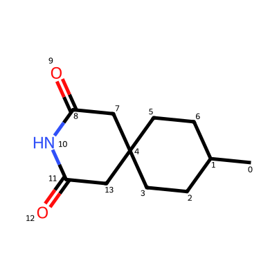 CC1CCC2(CC1)CC(=O)NC(=O)C2